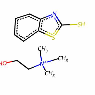 C[N+](C)(C)CCO.Sc1nc2ccccc2s1